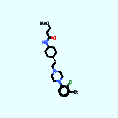 CCc1cccc(N2CCN(CC[C@H]3CC[C@H](NC(=O)CCOC)CC3)CC2)c1Cl